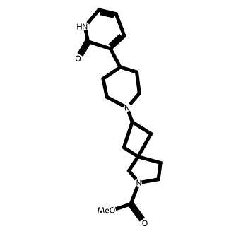 COC(=O)N1CCC2(CC(N3CCC(c4ccc[nH]c4=O)CC3)C2)C1